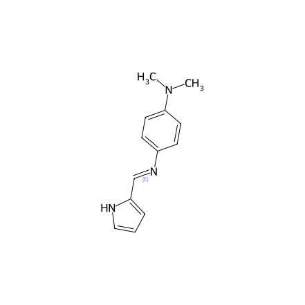 CN(C)c1ccc(/N=C/c2ccc[nH]2)cc1